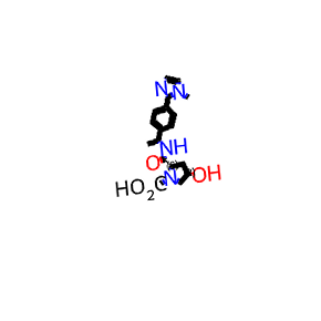 CC(NC(=O)[C@@H]1C[C@@H](O)CN1C(=O)O)c1ccc(-c2nccn2C)cc1